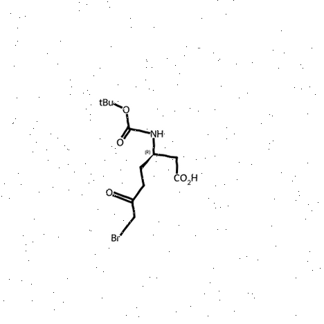 CC(C)(C)OC(=O)N[C@H](CCC(=O)CBr)CC(=O)O